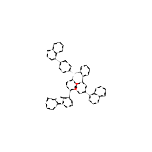 c1cc(-c2ccccc2N(c2ccc(-c3cccc4ccccc34)cc2)c2ccc(-c3cccc4c3oc3ccccc34)cc2)cc(-c2cccc3ccccc23)c1